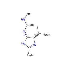 C=C(/N=C1/NC(OC)=N/C1=C(/C)NC)NCCCC